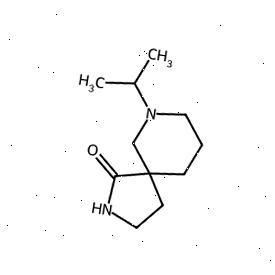 CC(C)N1CCCC2(CCNC2=O)C1